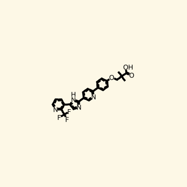 CC(C)(COc1ccc(-c2ccc(-c3ncc(-c4cccnc4C(F)(F)F)[nH]3)cn2)cc1)C(=O)O